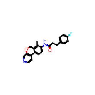 Cc1c(NC(=O)CCc2ccc(F)cc2)ccc2c1COc1cnccc1-2